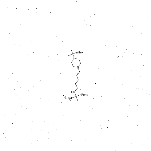 CCCCCCCC(C)(CCCCC)NCCCCCN1CCN(C(C)(C)CCCCCC)CC1